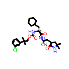 CC1(C)CC(C[C@@H](C#N)NC(=O)[C@H](CC2CCCCC2)NC(=O)OCC(C)(C)c2cccc(Cl)c2)C(=O)N1